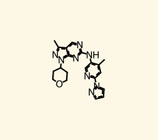 Cc1cc(-n2cccn2)ncc1Nc1ncc2c(C)nn(C3CCOCC3)c2n1